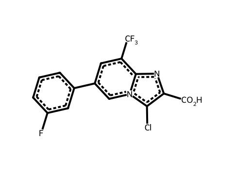 O=C(O)c1nc2c(C(F)(F)F)cc(-c3cccc(F)c3)cn2c1Cl